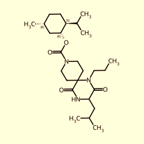 CCCN1C(=O)C(CC(C)C)NC(=O)C12CCN(C(=O)O[C@@H]1C[C@H](C)CC[C@H]1C(C)C)CC2